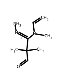 C=CN(C)/C(=N\N)C(C)(C)C=O